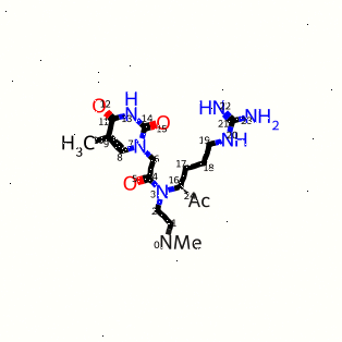 CNCCN(C(=O)Cn1cc(C)c(=O)[nH]c1=O)[C@H](CCCNC(=N)N)C(C)=O